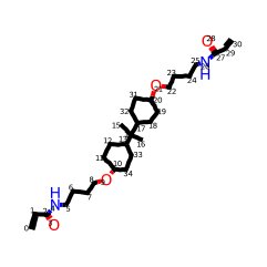 C=CC(=O)NCCCCOC1CCC(C(C)(C)C2CCC(OCCCCNC(=O)C=C)CC2)CC1